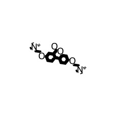 C[N+](C)(C)CCOc1ccc2c(c1)oc(=O)c1cc(OCC[N+](C)(C)C)ccc12